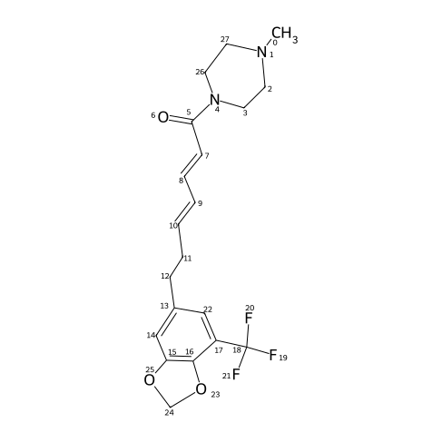 CN1CCN(C(=O)/C=C/C=C/CCc2cc3c(c(C(F)(F)F)c2)OCO3)CC1